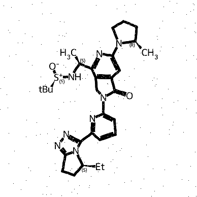 CC[C@H]1CCc2nnc(-c3cccc(N4Cc5c(cc(N6CCC[C@H]6C)nc5[C@H](C)N[S@+]([O-])C(C)(C)C)C4=O)n3)n21